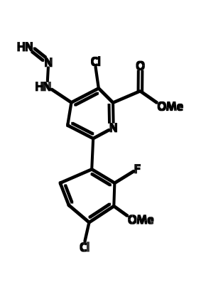 COC(=O)c1nc(-c2ccc(Cl)c(OC)c2F)cc(NN=N)c1Cl